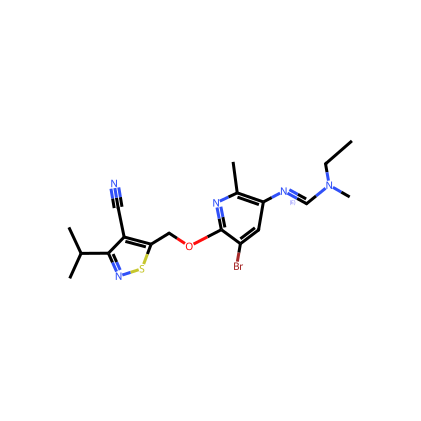 CCN(C)/C=N/c1cc(Br)c(OCc2snc(C(C)C)c2C#N)nc1C